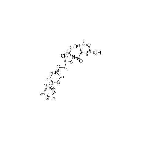 O=C1c2cc(O)ccc2OC=C(Cl)N1CCCCN1CC=C(c2ccccn2)CC1